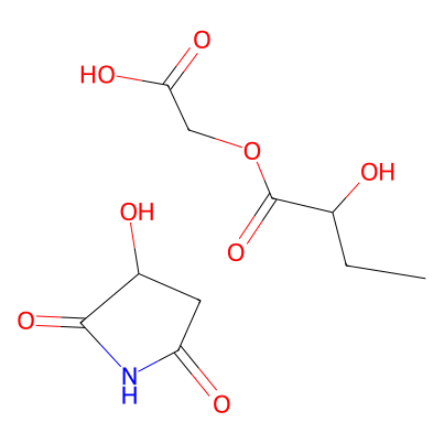 CCC(O)C(=O)OCC(=O)O.O=C1CC(O)C(=O)N1